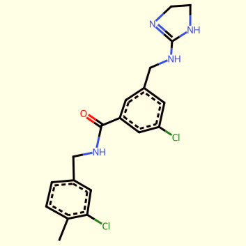 Cc1ccc(CNC(=O)c2cc(Cl)cc(CNC3=NCCN3)c2)cc1Cl